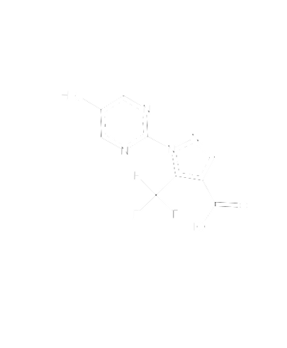 Cc1cnc(-n2ncc(C(=O)O)c2C(F)(F)F)nc1